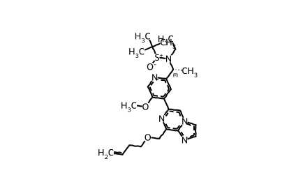 C=CCCOCc1nc(-c2cc([C@@H](C)N(CC)[S+]([O-])C(C)(C)C)ncc2OC)cn2ccnc12